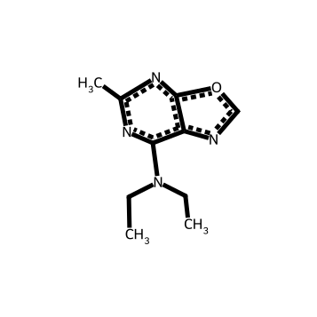 CCN(CC)c1nc(C)nc2ocnc12